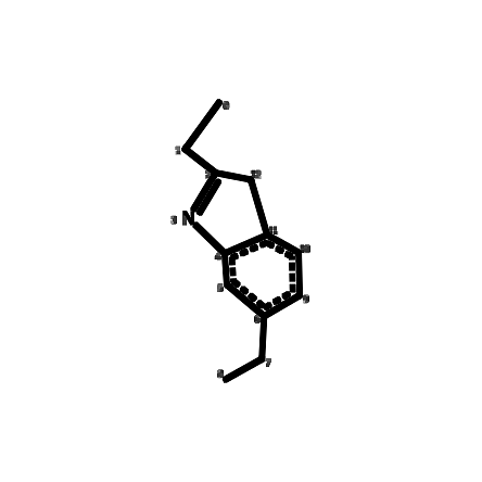 CCC1=Nc2cc(CC)ccc2C1